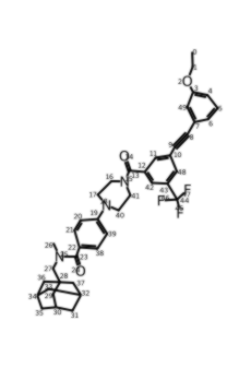 CCOc1cccc(C#Cc2cc(C(=O)N3CCN(c4ccc(C(=O)N(C)CC56CC7CC(CC(C7)C5)C6)cc4)CC3)cc(C(F)(F)F)c2)c1